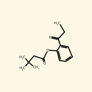 CCC(=O)c1ccccc1OC(=O)CC(C)(C)C